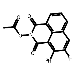 [3H]c1cc2cccc3c2c(c1[3H])C(=O)N(OC(C)=O)C3=O